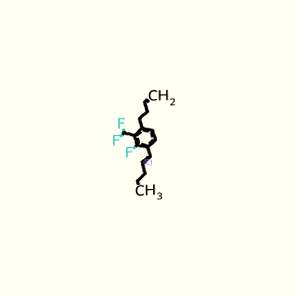 C=CCCc1ccc(/C=C/CCC)c(F)c1C(F)F